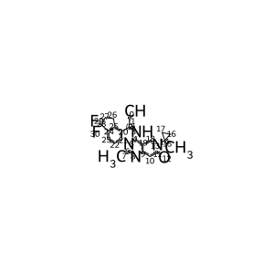 C#C[C@@H](Nc1nc(C)nc2cc(=O)n(C3(C)CC3)cc12)c1cccc2c1CCC2(F)F